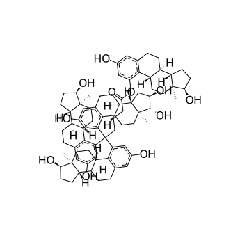 C[C@]12CC[C@@H]3c4c(cc(O)cc4OC(=O)CCCC(c4cc(O)cc5c4[C@H]4CC[C@]6(C)[C@H](O)CC[C@H]6[C@@H]4CC5)(c4cc(O)cc5c4[C@H]4CC[C@]6(C)[C@H](O)CC[C@H]6[C@@H]4CC5)c4cc(O)cc5c4[C@H]4CC[C@]6(C)[C@@H](O)[C@H](O)C[C@H]6[C@@H]4CC5)CC[C@H]3[C@@H]1CC[C@H]2O